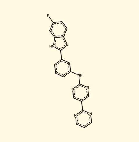 Fc1ccc2nc(-c3cccc(Nc4ncc(-c5ncccn5)cn4)c3)[nH]c2c1